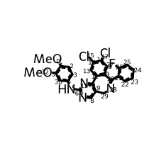 COc1ccc(Nc2ncc3c(n2)-c2cc(Cl)c(Cl)cc2C(c2ccccc2F)=NC3)cc1OC